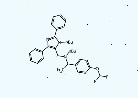 CCCCN(Cc1c(-c2ccccc2)nc(-c2ccccc2)n1CCCC)C(C)c1ccc(OC(F)F)cc1